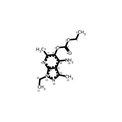 CCOC(=O)Oc1c(C)nc2c(c(C)nn2CC)c1N